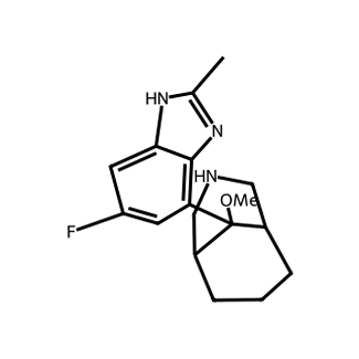 COC1(c2cc(F)cc3[nH]c(C)nc23)C2CCCC1CNC2